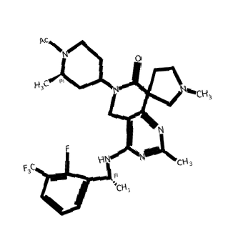 CC(=O)N1CCC(N2Cc3c(N[C@H](C)c4cccc(C(F)(F)F)c4F)nc(C)nc3C3(CCN(C)C3)C2=O)C[C@H]1C